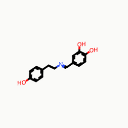 Oc1ccc(CCN=Cc2ccc(O)c(O)c2)cc1